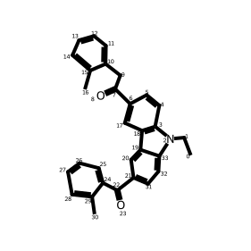 CCn1c2ccc(C(=O)Cc3ccccc3C)cc2c2cc(C(=O)c3ccccc3C)ccc21